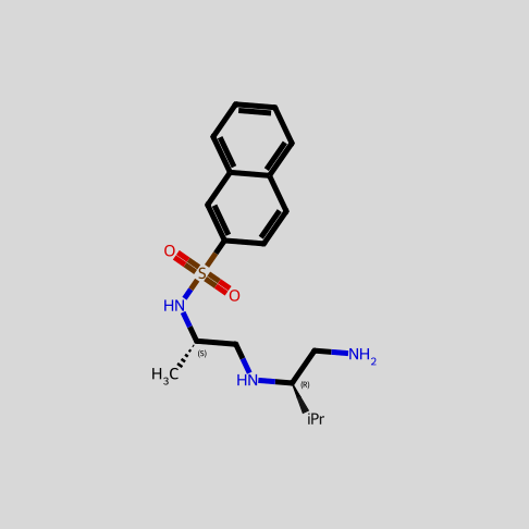 CC(C)[C@H](CN)NC[C@H](C)NS(=O)(=O)c1ccc2ccccc2c1